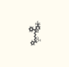 CC(O)(CC(=O)CCCc1nn2ccc(C(F)(F)F)cc2c1-c1ccccc1)C1CCCC1